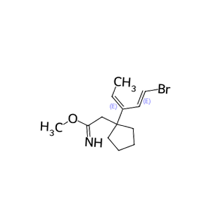 C/C=C(\C=C\Br)C1(CC(=N)OC)CCCC1